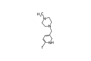 CN1CCN(CC2=CC=C(I)NC2)CC1